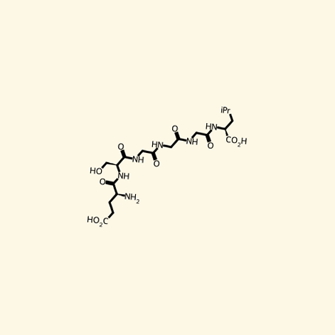 CC(C)C[C@H](NC(=O)CNC(=O)CNC(=O)CNC(=O)[C@H](CO)NC(=O)[C@@H](N)CCC(=O)O)C(=O)O